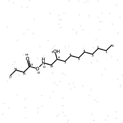 CCCCCCCCC(O)CNOC(=O)CCC